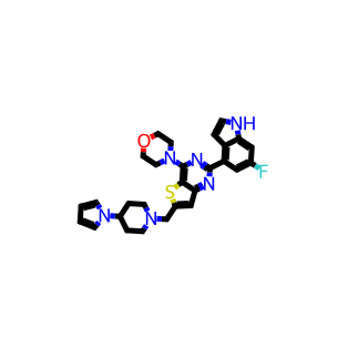 Fc1cc(-c2nc(N3CCOCC3)c3sc(CN4CCC(n5cccc5)CC4)cc3n2)c2cc[nH]c2c1